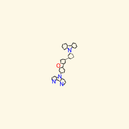 C1=C(c2ccc3oc4cc(-n5c6cccnc6c6ncccc65)ccc4c3c2)C=C(n2c3ccccc3c3ccccc32)CC1